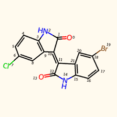 O=C1Nc2ccc(Cl)cc2C1=C1C(=O)Nc2ccc(Br)cc21